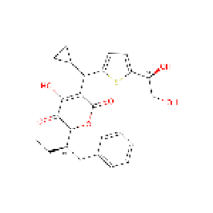 CC[C@H](Cc1ccccc1)C1OC(=O)C(C(c2ccc([C@@H](O)CO)s2)C2CC2)=C(O)C1=O